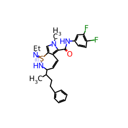 CC/N=S1/NC(C(C)CCc2ccccc2)C=Cc2c1cn(C)c2C(=O)Nc1ccc(F)c(F)c1